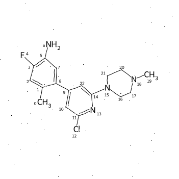 Cc1cc(F)c(N)cc1-c1cc(Cl)nc(N2CCN(C)CC2)c1